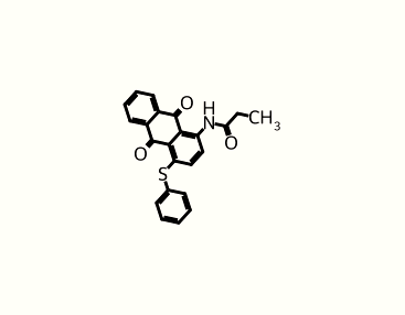 CCC(=O)Nc1ccc(Sc2ccccc2)c2c1C(=O)c1ccccc1C2=O